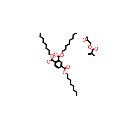 C=C(C)C(=O)OCC1CO1.CCCCCCCCOC(=O)c1ccc(C(=O)OCCCCCCCC)c(C(=O)OCCCCCCCC)c1